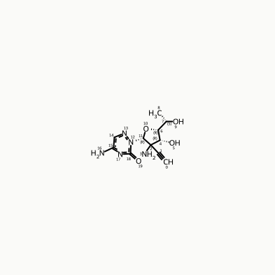 C#CC1(N)[C@@H](O)[C@@H]([C@H](C)O)O[C@H]1n1ncc(N)nc1=O